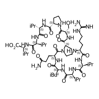 CC[C@H](C)[C@H](NC(=O)[C@@H](NC(=O)[C@@H](NC(=O)[C@@H](N)CCCNC(=N)N)C(C)C)C(C)C)C(=O)N[C@@H](CCC(N)=O)C(=O)N1CCC[C@H]1C(=O)N[C@@H](CO)C(=O)N1CCC[C@H]1C(=O)N[C@H](C(=O)N[C@H](C(=O)N[C@H](C(=O)O)C(C)C)C(C)C)C(C)C